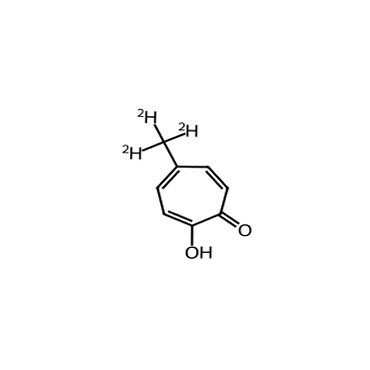 [2H]C([2H])([2H])c1ccc(O)c(=O)cc1